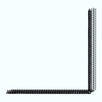 [Al+3].[Al+3].[Al+3].[Al+3].[Al+3].[Al+3].[Al+3].[Al+3].[Al+3].[Al+3].[Al+3].[Al+3].[Al+3].[Al+3].[Al+3].[Al+3].[Al+3].[Al+3].[Al+3].[Al+3].[Al+3].[Al+3].[Al+3].[Al+3].[Al+3].[Al+3].[Al+3].[Al+3].[Al+3].[Al+3].[Al+3].[Al+3].[Al+3].[Al+3].[Al+3].[Al+3].[Al+3].[Al+3].[Al+3].[Al+3].[Al+3].[Al+3].[Al+3].[Al+3].[Al+3].[Al+3].[Al+3].[Al+3].[Al+3].[Al+3].[Al+3].[Al+3].[Al+3].[Al+3].[Al+3].[Al+3].[Al+3].[Al+3].[Al+3].[Al+3].[Al+3].[Al+3].[Al+3].[Al+3].[Al+3].[Al+3].[Al+3].[Al+3].[Al+3].[Al+3].[Al+3].[Al+3].[Al+3].[Al+3].[Al+3].[Al+3].[Al+3].[Al+3].[Al+3].[Al+3].[Al+3].[Al+3].[Al+3].[Al+3].[Al+3].[Al+3].[Al+3].[Al+3].[Al+3].[Al+3].[O-2]